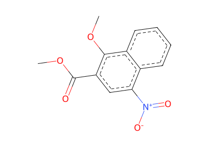 COC(=O)c1cc([N+](=O)[O-])c2ccccc2c1OC